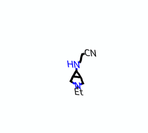 CCN1CC2C(C1)C2NCCC#N